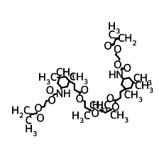 C=C(C)C(=O)OCCOC(=O)NC1CC(C)(C)CC(C)(CCC(=O)OCCC(C)(C)OCCC(C)(C)OC(=O)CCC2(C)CC(NC(=O)OCCOC(=O)C(=C)C)CC(C)(C)C2)C1